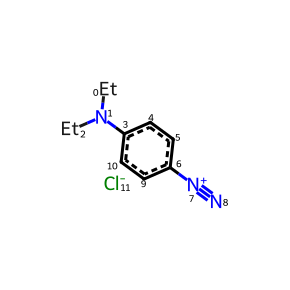 CCN(CC)c1ccc([N+]#N)cc1.[Cl-]